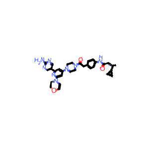 C/C(=C/C(=O)Nc1ccc(CC(=O)N2CCN(c3cc(-c4cnc(N)nc4)nc(N4CCOCC4)c3)CC2)cc1)C1CC1